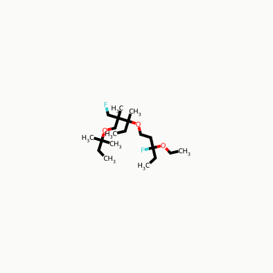 CCOC(F)(CC)CCOC(C)(CC)C(C)(CF)COC(C)(C)CC